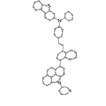 C(=C\c1ccc(-c2ccc3c4c2ccc2cccc(c24)n3-c2cccnc2)c2ccccc12)/c1ccc(N(c2ccccc2)c2ccc3c(c2)sc2ccccc23)cc1